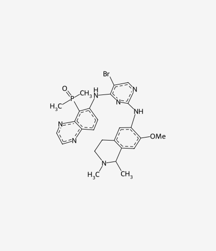 COc1cc2c(cc1Nc1ncc(Br)c(Nc3ccc4nccnc4c3P(C)(C)=O)n1)CCN(C)C2C